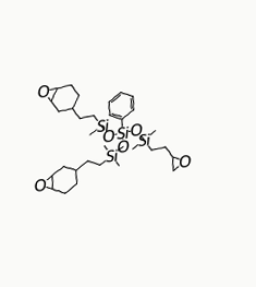 C[Si](C)(CCC1CCC2OC2C1)O[Si](O[Si](C)(C)CCC1CCC2OC2C1)(O[Si](C)(C)CCC1CO1)c1ccccc1